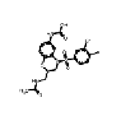 CC(=O)NCC1CN(S(=O)(=O)c2ccc(F)c(Br)c2)c2cc(NC(=O)O)ccc2O1